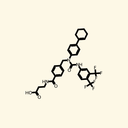 O=C(O)CCNC(=O)c1ccc(CN(C(=O)Nc2ccc(C(F)(F)F)c(C(F)(F)F)c2)c2ccc(C3=CCCCC3)cc2)cc1